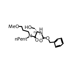 CCCCCN(CCCOC)C(=O)[C@H](CO)NC(=O)OCc1ccccc1